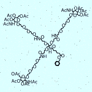 CC(=O)NC1C(OCCOCCOCCOCCNC(=O)CCOCC(COCCC(=O)NCCOCCOCCOCCOC2OC(COC(C)=O)C(OC(C)=O)C(OC(C)=O)C2NC(C)=O)(COCCC(=O)NCCOCCOCCOCCOC2OC(COC(C)=O)C(OC(C)=O)C(OC(C)=O)C2NC(C)=O)NC(=O)CCCCC(=O)OCc2ccccc2)OC(COC(C)=O)C(OC(C)=O)C1OC(C)=O